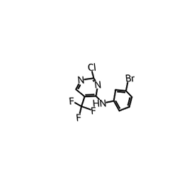 FC(F)(F)c1cnc(Cl)nc1Nc1cccc(Br)c1